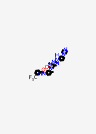 Cc1ccc(NC(=O)c2cccc(C(F)(F)F)c2)cc1N1Cc2cnc(Nc3cccc(N4CCN(C)CC4)c3)nc2N(C)C1=O